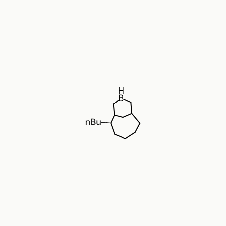 CCCCC1CCCCC2CBCC1C2